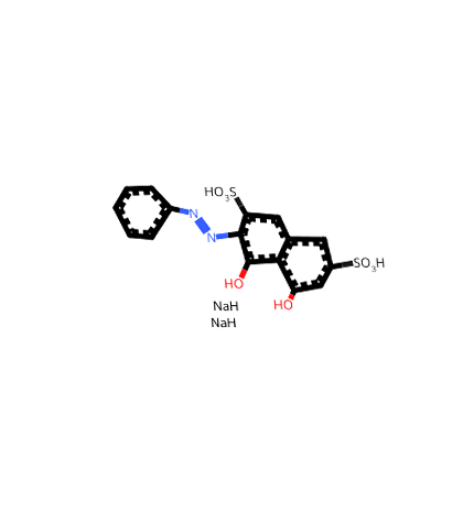 O=S(=O)(O)c1cc(O)c2c(O)c(N=Nc3ccccc3)c(S(=O)(=O)O)cc2c1.[NaH].[NaH]